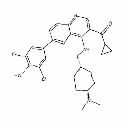 CN(C)[C@H]1CC[C@H](CNc2c(C(=O)C3CC3)cnc3ccc(-c4cc(F)c(O)c(Cl)c4)cc23)CC1